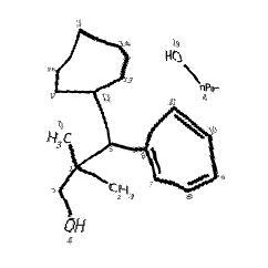 CC(C)(CO)C(c1ccccc1)C1CCCCC1.CCCO